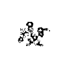 CC(C)C(=O)O[C@H]1[C@H](c2ccc3c(N)ccnn23)O[C@](C#N)(CO[P@](=O)(N[C@@H](C)C(=O)O[C@@H]2CCOC2)Oc2ccccc2)[C@H]1OC(=O)C(C)C